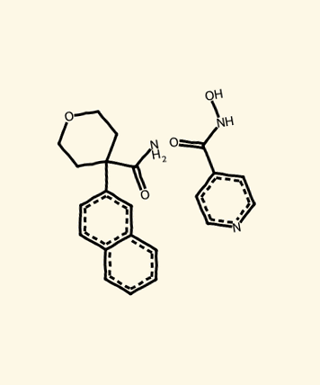 NC(=O)C1(c2ccc3ccccc3c2)CCOCC1.O=C(NO)c1ccncc1